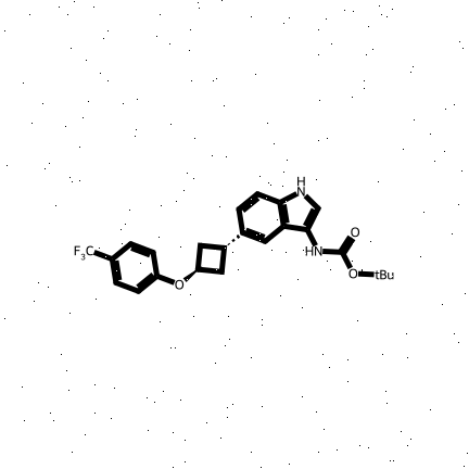 CC(C)(C)OC(=O)Nc1c[nH]c2ccc([C@H]3C[C@H](Oc4ccc(C(F)(F)F)cc4)C3)cc12